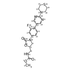 COC(=O)NCC1CN(c2ccc(-c3cnc(N4CCSCC4)nc3)c(F)c2)C(=O)O1